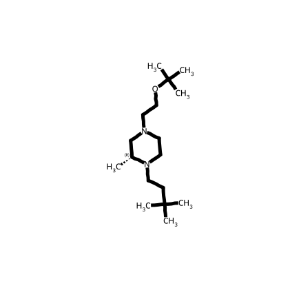 C[C@@H]1CN(CCOC(C)(C)C)CCN1CCC(C)(C)C